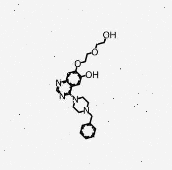 OCCOCCOc1cc2ncnc(N3CCN(Cc4ccccc4)CC3)c2cc1O